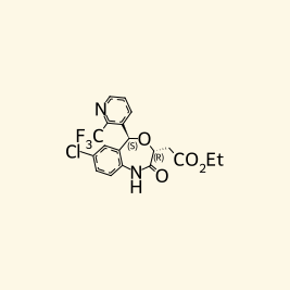 CCOC(=O)C[C@H]1O[C@H](c2cccnc2C(F)(F)F)c2cc(Cl)ccc2NC1=O